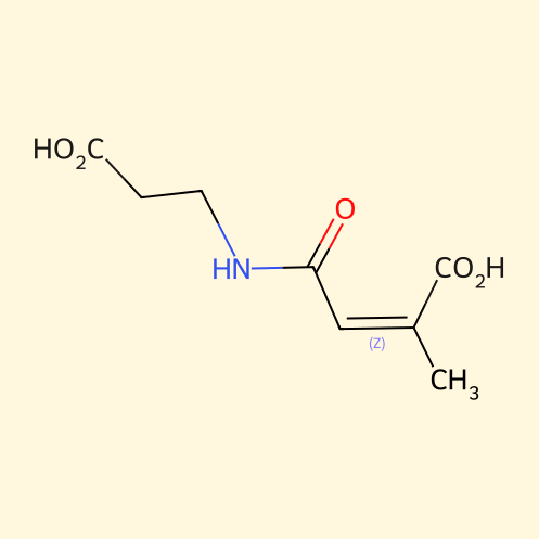 C/C(=C/C(=O)NCCC(=O)O)C(=O)O